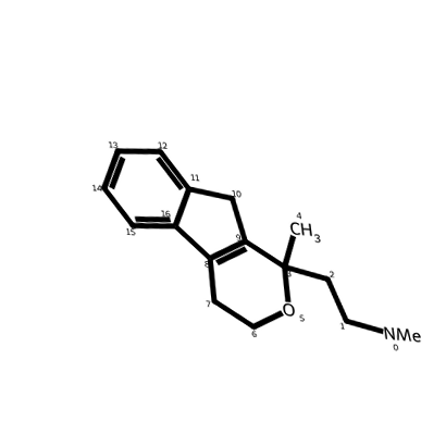 CNCCC1(C)OCCC2=C1Cc1ccccc12